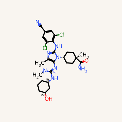 C=N/C(=N\c1c(C)nc(Nc2c(Cl)cc(C#N)cc2Cl)n1[C@H]1CC[C@@](C)(C(N)=O)CC1)N[C@@H]1CCC[C@H](O)C1